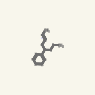 C/C=C/CC(CCC)c1ccccc1